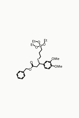 CCO[Si](CCCSC(CC(=O)OCc1ccccc1)c1ccc(OC)c(OC)c1)(OCC)OCC